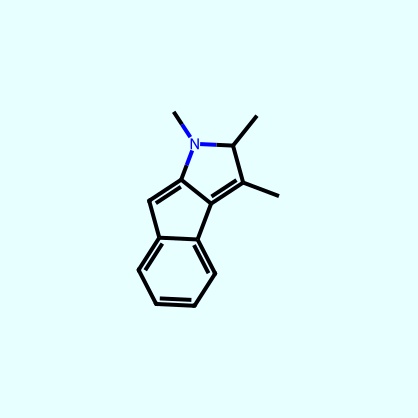 CC1=C2C(=Cc3ccccc32)N(C)C1C